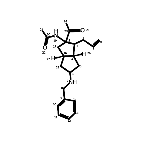 C=CCC1[C@@H]2CC(NCc3ccccc3)C[C@@H]2CC1(NC(C)=O)C(C)=O